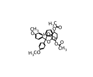 COc1ccc(C(OC2C(OC(C)=O)C3CC(OC(C)=O)C2(O)O3)(c2ccccc2)c2ccc(OC)cc2)cc1